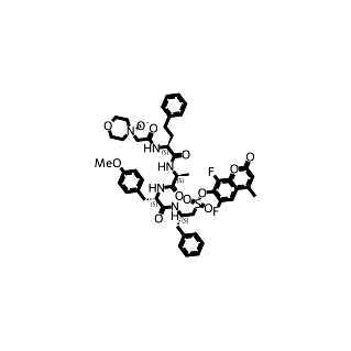 COc1ccc(C[C@H](NC(=O)[C@H](C)NC(=O)[C@H](CCc2ccccc2)NC(=O)C[N+]2([O-])CCOCC2)C(=O)N[C@@H](Cc2ccccc2)CS(=O)(=O)Oc2c(F)cc3c(C)cc(=O)oc3c2F)cc1